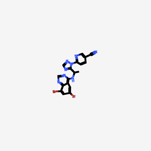 CC(Nc1ncnc2c(Br)cc(Br)cc12)c1ncnn1-c1ccc(C#N)cn1